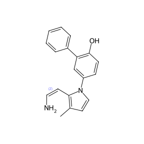 Cc1ccn(-c2ccc(O)c(-c3ccccc3)c2)c1/C=C\N